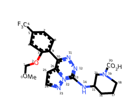 COCOc1cc(C(F)(F)F)ccc1-c1nnc(NC2CCCN(C(=O)O)C2)n2nccc12